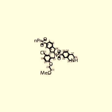 CCCS(=O)(=O)c1ccc2c(c1)CC(N(Cc1cc(Cl)ccc1OCCOC)S(=O)(=O)c1ccc3c(c1)CNCC3)C2